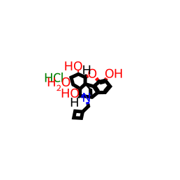 Cl.O.Oc1ccc2c3c1O[C@H]1[C@@H](O)CC[C@@]4(O)[C@@H](C2)N(CC2CCC2)CC[C@]314